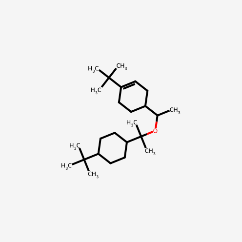 CC(OC(C)(C)C1CCC(C(C)(C)C)CC1)C1CC=C(C(C)(C)C)CC1